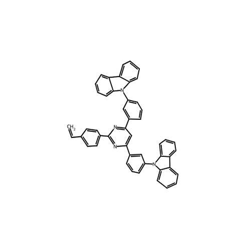 C=Cc1ccc(-c2nc(-c3cccc(-n4c5ccccc5c5ccccc54)c3)cc(-c3cccc(-n4c5ccccc5c5ccccc54)c3)n2)cc1